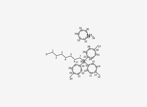 CCCCCCCC[B-](c1ccc(C)cc1)(c1ccc(C)cc1)c1ccc(C)cc1.C[n+]1ccccc1